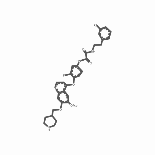 COc1cc2c(Oc3ccc(NC(=O)C(=O)NCCc4cccc(Cl)c4)cc3F)ccnc2cc1OCC1CCNCC1